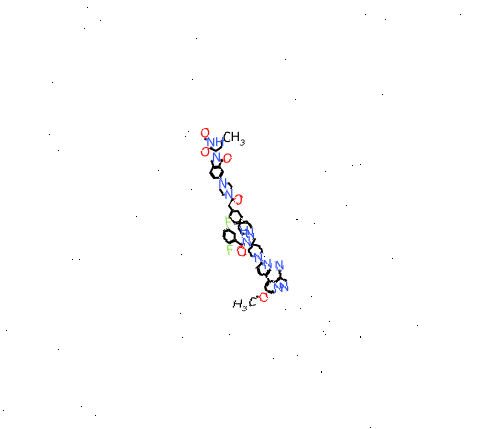 CCCC(C(=O)NC=O)N1Cc2ccc(N3CCN(C(=O)CC4CCC5(CC4)CCN(CC4(NC(=O)c6cc(F)ccc6F)CCN(c6ccc(-c7cc(OCC)cn8ncc(C#N)c78)cn6)CC4)CC5)CC3)cc2C1=O